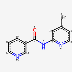 CC(C)c1ccnc(NC(=O)c2cccnc2)c1